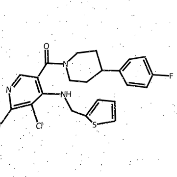 O=C(c1cnc(Cl)c(Cl)c1NCc1cccs1)N1CCC(c2ccc(F)cc2)CC1